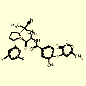 Cc1cc(Oc2ccc(C(=O)NC(C)C(=O)N3[C@H](c4cc(F)cc(F)c4)CC[C@@H]3C(C)(C)C#N)cc2C)c(=O)[nH]n1